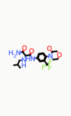 CC(C)CN[C@@H](C(N)=O)C(=O)Nc1ccc(N2CCOCC2=O)c(C(F)(F)F)c1